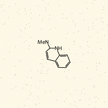 CNC1C=Cc2ccccc2N1